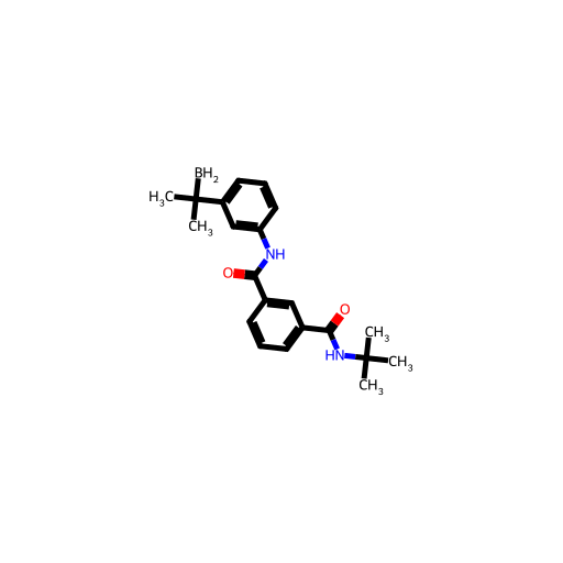 BC(C)(C)c1cccc(NC(=O)c2cccc(C(=O)NC(C)(C)C)c2)c1